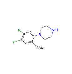 COc1cc(F)c(F)cc1N1CCNCC1